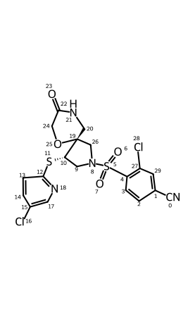 N#Cc1ccc(S(=O)(=O)N2C[C@H](Sc3ccc(Cl)cn3)[C@@]3(CNC(=O)CO3)C2)c(Cl)c1